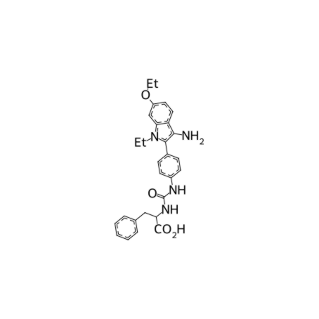 CCOc1ccc2c(N)c(-c3ccc(NC(=O)NC(Cc4ccccc4)C(=O)O)cc3)n(CC)c2c1